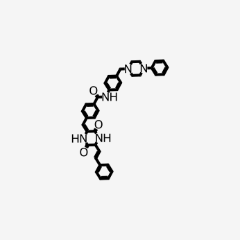 O=C1NC(C=Cc2ccccc2)C(=O)NC1=Cc1ccc(C(=O)Nc2ccc(CN3CCN(c4ccccc4)CC3)cc2)cc1